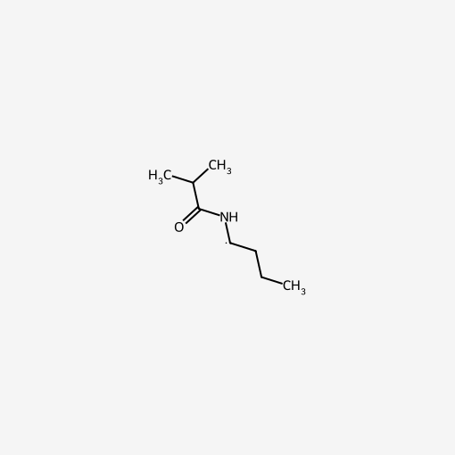 CCC[CH]NC(=O)C(C)C